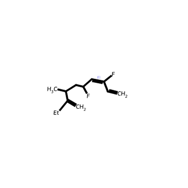 C=C/C(F)=C\C(F)CC(C)C(=C)CC